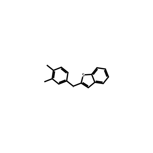 Cc1ccc([CH]c2cc3ccccc3s2)cc1C